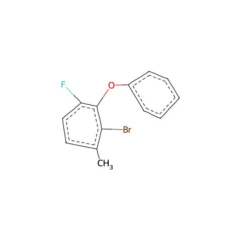 Cc1ccc(F)c(Oc2ccccc2)c1Br